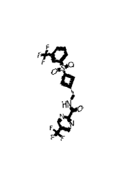 O=C(NC[C@H]1C[C@H](S(=O)(=O)c2cccc(C(F)(F)F)c2)C1)c1ncc(C(F)(F)F)cn1